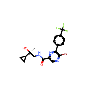 C[C@](O)(CNC(=O)c1cnc(Br)c(-c2ccc(C(F)(F)F)cc2)n1)C1CC1